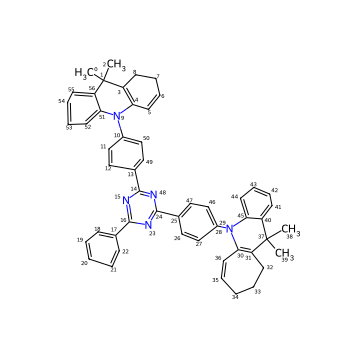 CC1(C)C2=C(C=CCC2)N(c2ccc(-c3nc(-c4ccccc4)nc(-c4ccc(N5C6=C(CCCC=C6)C(C)(C)c6ccccc65)cc4)n3)cc2)c2ccccc21